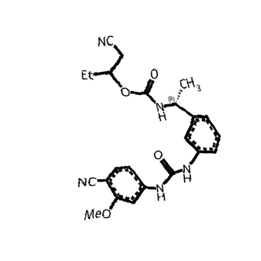 CCC(CC#N)OC(=O)N[C@H](C)c1cccc(NC(=O)Nc2ccc(C#N)c(OC)c2)c1